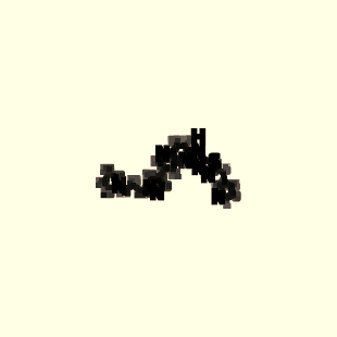 c1cncc(Cc2nnc(Nc3ccc4ncc(-c5cnn(CCCN6CCCC6)c5)cc4n3)s2)c1